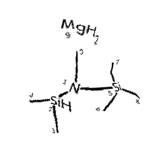 CN([SiH](C)C)[Si](C)(C)C.[MgH2]